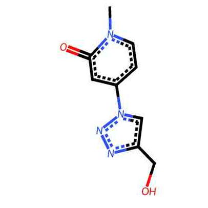 Cn1ccc(-n2cc(CO)nn2)cc1=O